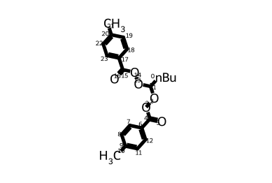 [CH2]CCC[C](OOC(=O)c1ccc(C)cc1)OOC(=O)c1ccc(C)cc1